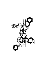 Cn1c(NC[C@H](Cc2ccccc2)NC(=O)OC(C)(C)C)nc(-c2ccncc2)c(NC(=O)Nc2ccccc2)c1=O